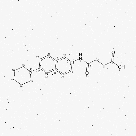 O=C(O)CCC(=O)Nc1ccc2nc(N3CCCCC3)ccc2c1